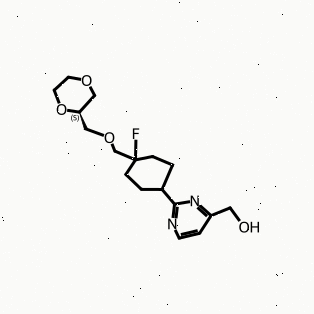 OCc1ccnc(C2CCC(F)(COC[C@@H]3COCCO3)CC2)n1